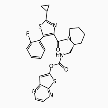 O=C(NC[C@@H]1CCCCN1C(=O)c1nc(C2CC2)sc1-c1ccccc1F)Oc1cc2nccnc2s1